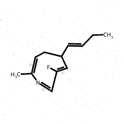 CCC=CC1/C=C(F)/C=N\C(C)=C/C1